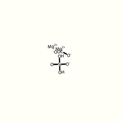 O=C([O-])[O-].[Mg+2].[Mg+2].[O-][Si]([O-])(O)O